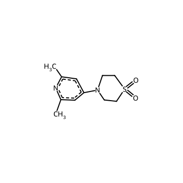 Cc1cc(N2CCS(=O)(=O)CC2)cc(C)n1